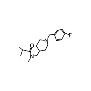 CC(C)C(=O)N(C)CC1CCN(Cc2ccc(F)cc2)CC1